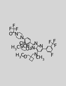 COCC1(CN(C)c2cc(-c3cc(F)cc(C(F)(F)F)c3)nc3nc(-c4ccc(N5CCN(C(=O)C(F)(F)F)CC5)cc4)n(COCC[Si](C)(C)C)c23)CCC1